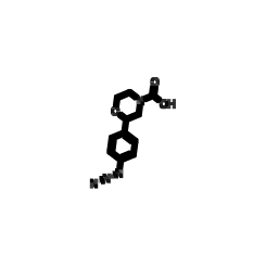 [N-]=[N+]=Nc1ccc(C2CN(C(=O)O)CCO2)cc1